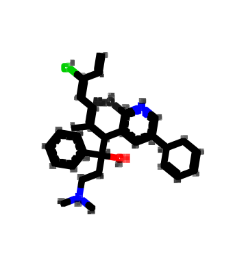 C=C/C(Cl)=C\C=C(/C)C(c1cc(C2C=CC=CC2)cnc1OC)C(O)(CCN(C)C)c1ccccc1